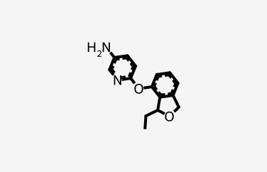 CCC1OCc2cccc(Oc3ccc(N)cn3)c21